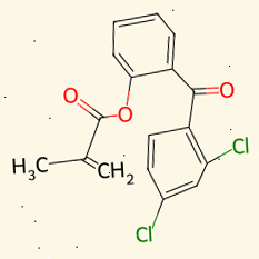 C=C(C)C(=O)Oc1ccccc1C(=O)c1ccc(Cl)cc1Cl